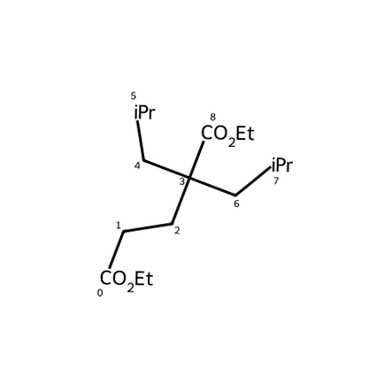 CCOC(=O)CCC(CC(C)C)(CC(C)C)C(=O)OCC